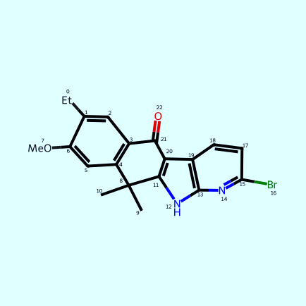 CCc1cc2c(cc1OC)C(C)(C)c1[nH]c3nc(Br)ccc3c1C2=O